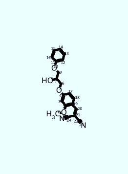 COc1cc(OCC(O)COc2ccccc2)ccc1C=C(C#N)C#N